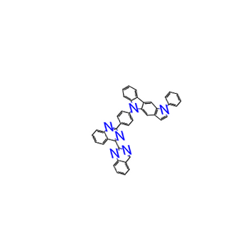 c1ccc(-n2ccc3cc4c(cc32)c2ccccc2n4-c2ccc(-c3nc(-c4ncc5ccccc5n4)c4ccccc4n3)cc2)cc1